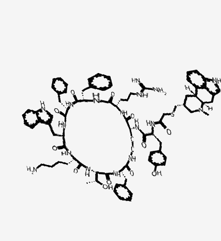 C[C@@H](O)[C@@H]1NC(=O)[C@H](CCCCN)NC(=O)[C@@H](Cc2c[nH]c3ccccc23)NC(=O)[C@H](Cc2ccccc2)NC(=O)[C@H](Cc2ccccc2)NC(=O)[C@H](CCCNC(=N)N)NC(=O)[C@H](NC(=O)[C@H](Cc2ccc(O)cc2)NC(=O)CSC[C@@H]2C[C@@H]3c4cccc5[nH]cc(c45)C[C@H]3N(C)C2)CCNC(=O)[C@H](Cc2ccccc2)NC1=O